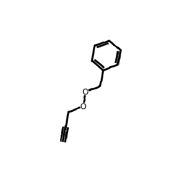 C#CCOOCc1ccccc1